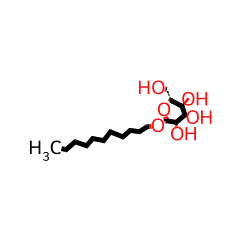 CCCCCCCCCCCOC1O[C@H](CO)[C@@H](O)[C@H](O)[C@H]1O